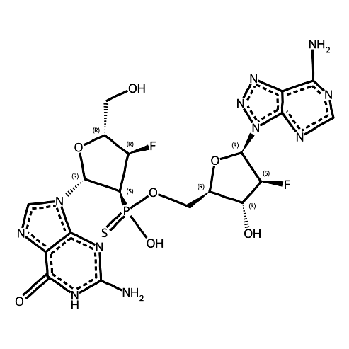 Nc1nc2c(ncn2[C@@H]2O[C@H](CO)[C@@H](F)[C@H]2P(O)(=S)OC[C@H]2O[C@@H](n3nnc4c(N)ncnc43)[C@@H](F)[C@@H]2O)c(=O)[nH]1